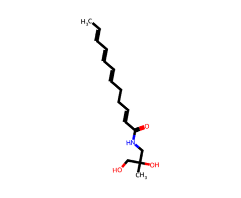 CC=CC=CC=CCCC=CC(=O)NCC(C)(O)CO